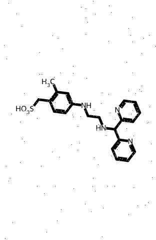 Cc1cc(NCCNC(c2ccccn2)c2ccccn2)ccc1CS(=O)(=O)O